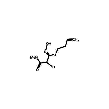 C=CCCSC(=NO)C(CC)C(=O)NC